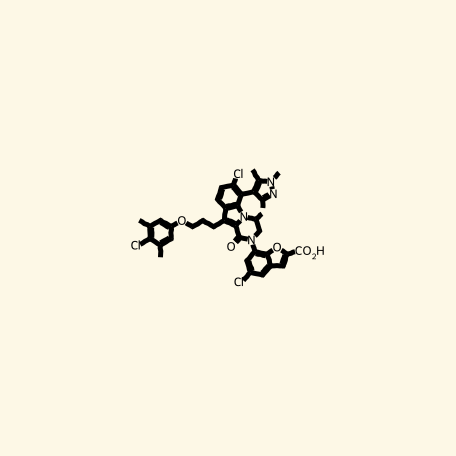 Cc1cc(OCCCc2c3n(c4c(-c5c(C)nn(C)c5C)c(Cl)ccc24)C(C)CN(c2cc(Cl)cc4cc(C(=O)O)oc24)C3=O)cc(C)c1Cl